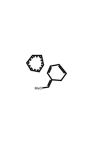 COC=C1C=CC=CC1.c1ccccc1